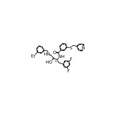 CCc1cccc(CNC[C@H](O)[C@H](Cc2cc(F)cc(F)c2)NC(=O)c2cccc(SCc3ccncc3)c2)c1